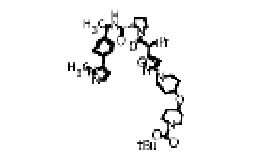 CC(NC(=O)[C@@H]1CCCN1C(=O)C(c1cc(N2CCC(OC3CCN(C(=O)OC(C)(C)C)CC3)CC2)no1)C(C)C)c1ccc(-c2ccnn2C)cc1